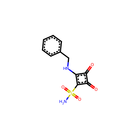 NS(=O)(=O)c1c(NCc2ccccc2)c(=O)c1=O